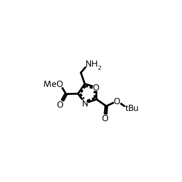 COC(=O)c1nc(C(=O)OC(C)(C)C)oc1CN